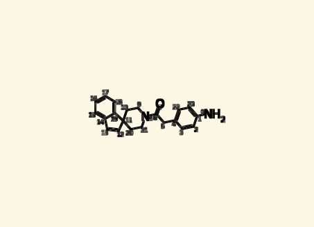 Nc1ccc(CC(=O)N2CCC3(C=Cc4ccccc43)CC2)cc1